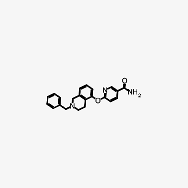 NC(=O)c1ccc(Oc2cccc3c2CCN(Cc2ccccc2)C3)nc1